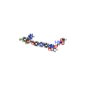 CC(C)C(C(C)OCCCNC(=O)OC(C)(C)C)n1ncn(-c2ccc(N3CCN(c4ccc(OCC5COC(Cn6cncn6)(C6CC=C(F)C=C6F)C5)cc4)CC3)cc2)c1=O